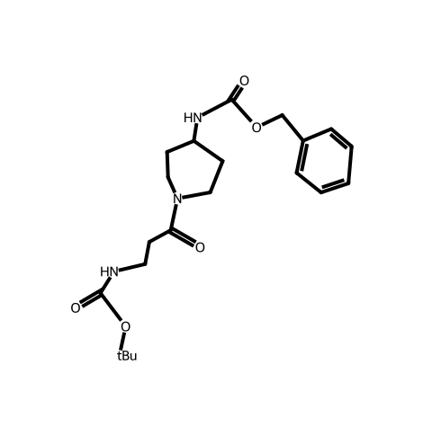 CC(C)(C)OC(=O)NCCC(=O)N1CCC(NC(=O)OCc2ccccc2)CC1